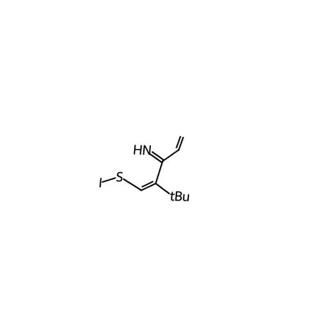 C=CC(=N)/C(=C\SI)C(C)(C)C